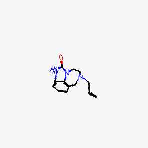 C=CCN1CCn2c(=O)[nH]c3cccc(c32)C1